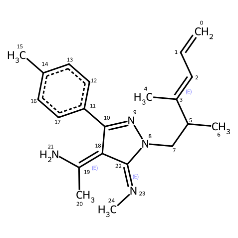 C=C/C=C(\C)C(C)CN1N=C(c2ccc(C)cc2)C(=C(/C)N)/C1=N\C